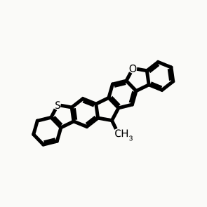 CC1c2cc3c4c(sc3cc2-c2cc3oc5ccccc5c3cc21)CCC=C4